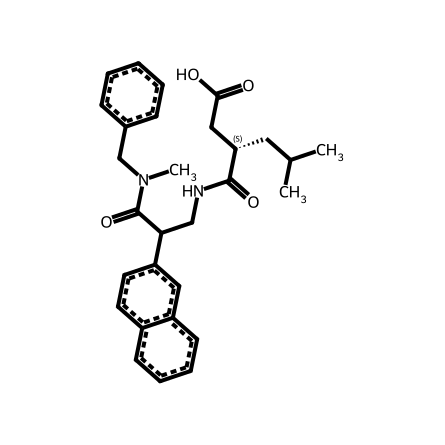 CC(C)C[C@@H](CC(=O)O)C(=O)NCC(C(=O)N(C)Cc1ccccc1)c1ccc2ccccc2c1